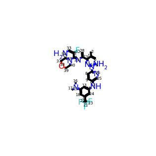 C=C(C)/C(=N\N(N)c1ccc(Nc2cc(N(C)C)cc(C(F)(F)F)c2)cn1)C(=C)/N=C(\C(F)=C/N)N1CCOCC1